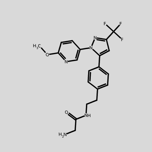 COc1ccc(-n2nc(C(F)(F)F)cc2-c2ccc(CCNC(=O)CN)cc2)cn1